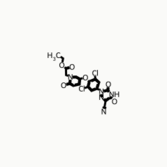 CCOC(=O)Cn1cc(Oc2c(Cl)cc(-n3nc(C#N)c(=O)[nH]c3=O)cc2Cl)ccc1=O